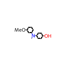 COc1cccc(N(C)c2ccc(O)cc2)c1